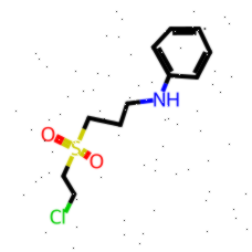 O=S(=O)(CCCl)CCCNc1cc[c]cc1